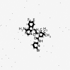 C[C@H]1N(C(=O)Cn2c3cc(F)c(F)cc3c3c(N)ncnc32)[C@H](C(=O)Nc2cccc(Br)n2)CC1(C)C